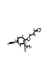 C#Cc1ccc(OCCC=O)c(N(C)C)n1